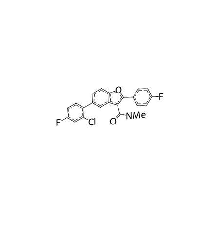 CNC(=O)c1c(-c2ccc(F)cc2)oc2ccc(-c3ccc(F)cc3Cl)cc12